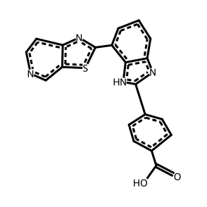 O=C(O)c1ccc(-c2nc3cccc(-c4nc5ccncc5s4)c3[nH]2)cc1